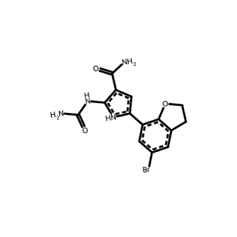 NC(=O)Nc1[nH]c(-c2cc(Br)cc3c2OCC3)cc1C(N)=O